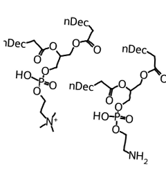 CCCCCCCCCCCC(=O)OCC(COP(=O)(O)OCCN)OC(=O)CCCCCCCCCCC.CCCCCCCCCCCC(=O)OCC(COP(=O)(O)OCC[N+](C)(C)C)OC(=O)CCCCCCCCCCC